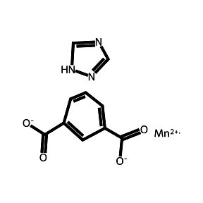 O=C([O-])c1cccc(C(=O)[O-])c1.[Mn+2].c1nc[nH]n1